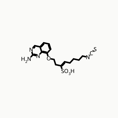 Nc1ncc2cccc(OCCC(=CCCCCN=C=S)S(=O)(=O)O)c2n1